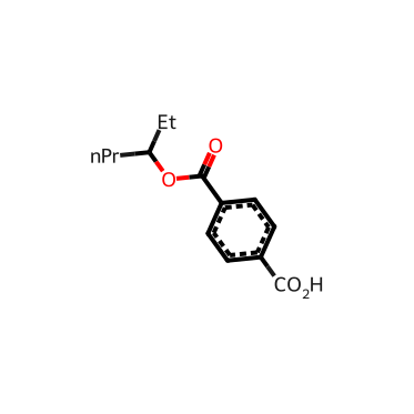 CCCC(CC)OC(=O)c1ccc(C(=O)O)cc1